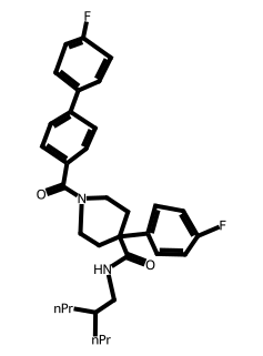 CCCC(CCC)CNC(=O)C1(c2ccc(F)cc2)CCN(C(=O)c2ccc(-c3ccc(F)cc3)cc2)CC1